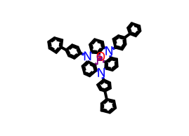 O=P12c3c4cccc3N(c3ccc(-c5ccccc5)cc3)c3cccc(c31)N(c1ccc(-c3ccccc3)cc1)c1cccc(c12)N4c1ccc(-c2ccccc2)cc1